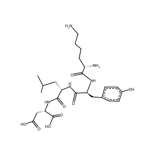 CC(C)C[C@H](NC(=O)[C@H](Cc1ccc(O)cc1)NC(=O)[C@@H](N)CCCCN)C(=O)N[C@@H](CC(=O)O)C(=O)O